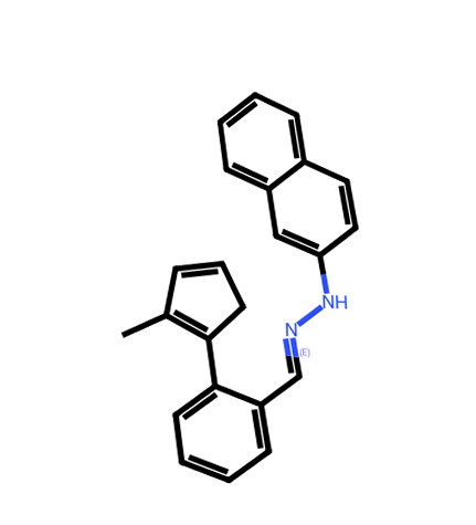 CC1=C(c2ccccc2/C=N/Nc2ccc3ccccc3c2)CC=C1